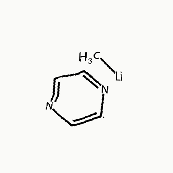 [Li][CH3].[c]1cnccn1